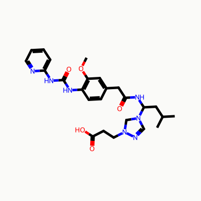 COc1cc(CC(=O)NC(CC(C)C)N2C=NN(CCC(=O)O)C2)ccc1NC(=O)Nc1ccccn1